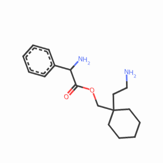 NCCC1(COC(=O)C(N)c2ccccc2)CCCCC1